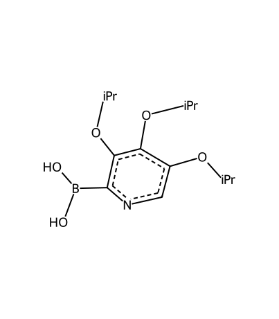 CC(C)Oc1cnc(B(O)O)c(OC(C)C)c1OC(C)C